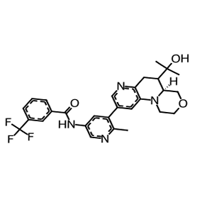 Cc1ncc(NC(=O)c2cccc(C(F)(F)F)c2)cc1-c1cnc2c(c1)N1CCOC[C@@H]1C(C(C)(C)O)C2